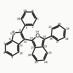 c1ccc(-c2sc3ccccc3c2-c2oc(-c3ccccc3)c3ccccc23)cc1